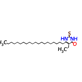 CCCCCCCCCCCCCCCCCCCCc1[nH]c(=S)[nH]c(=O)c1CC